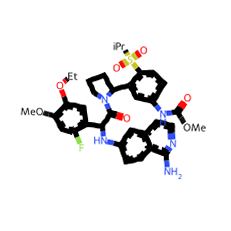 CCOc1cc(C(Nc2ccc3c(N)nccc3c2)C(=O)N2CCCC2c2cc(NC(=O)OC)ccc2S(=O)(=O)C(C)C)c(F)cc1OC